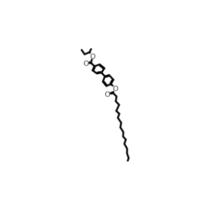 CCCCCCCCCCCCCCCCC(=O)Oc1ccc(-c2ccc(C(=O)OC(C)CC)cc2)cc1